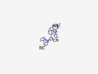 C#C/C=C\c1c(C)n(-c2ccccc2-c2ccccc2-c2cc(C#N)cc(N3C4=C(C(C)CC=C4)C4C=C(C#N)CCC43C)c2)c2cccc(C#N)c12